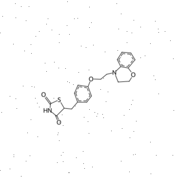 O=C1NC(=O)C(Cc2ccc(OCCN3CCOc4ccccc43)cc2)S1